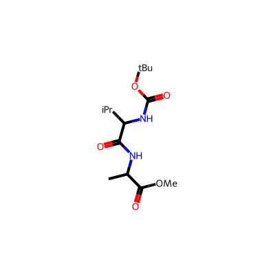 COC(=O)C(C)NC(=O)C(NC(=O)OC(C)(C)C)C(C)C